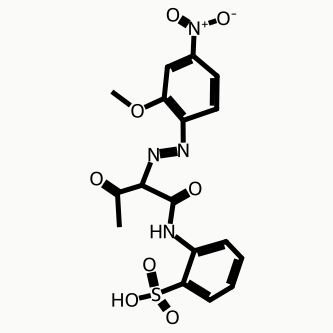 COc1cc([N+](=O)[O-])ccc1N=NC(C(C)=O)C(=O)Nc1ccccc1S(=O)(=O)O